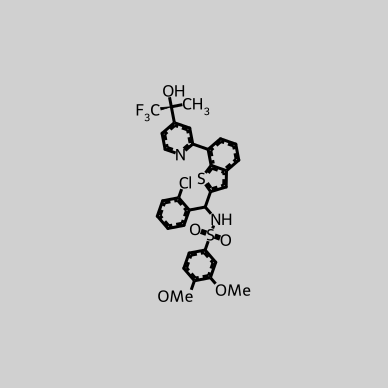 COc1ccc(S(=O)(=O)NC(c2cc3cccc(-c4cc([C@@](C)(O)C(F)(F)F)ccn4)c3s2)c2ccccc2Cl)cc1OC